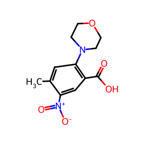 Cc1cc(N2CCOCC2)c(C(=O)O)cc1[N+](=O)[O-]